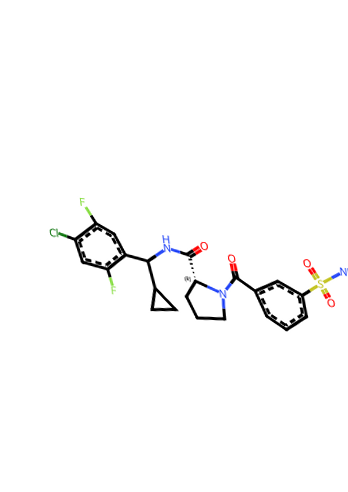 NS(=O)(=O)c1cccc(C(=O)N2CCC[C@@H]2C(=O)NC(c2cc(F)c(Cl)cc2F)C2CC2)c1